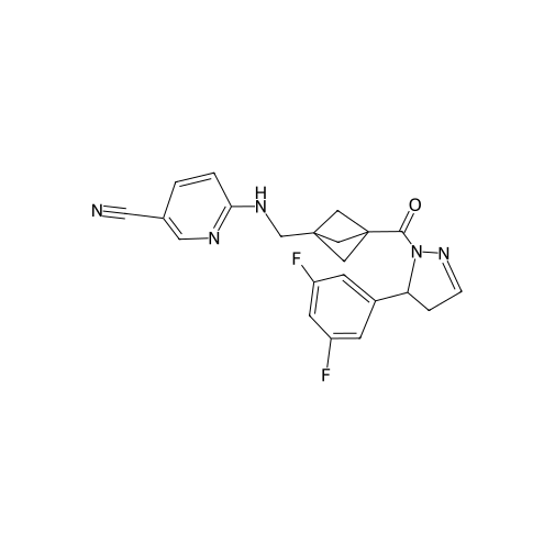 N#Cc1ccc(NCC23CC(C(=O)N4N=CCC4c4cc(F)cc(F)c4)(C2)C3)nc1